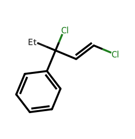 CCC(Cl)(/C=C/Cl)c1ccccc1